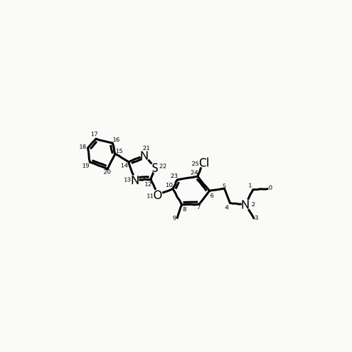 CCN(C)CCc1cc(C)c(Oc2nc(-c3ccccc3)ns2)cc1Cl